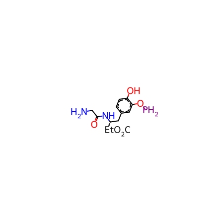 CCOC(=O)[C@H](Cc1ccc(O)c(OP)c1)NC(=O)CN